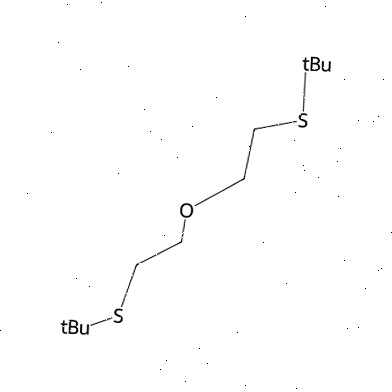 CC(C)(C)SCCOCCSC(C)(C)C